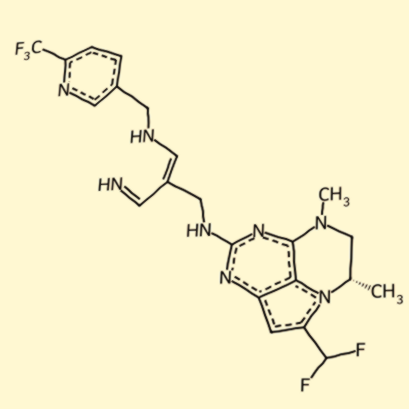 C[C@H]1CN(C)c2nc(NC/C(C=N)=C/NCc3ccc(C(F)(F)F)nc3)nc3cc(C(F)F)n1c23